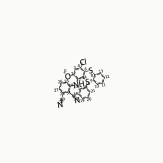 COc1cc(Cl)c(Sc2ccccc2)c(Sc2ccccc2)c1Nc1cccc(C#N)c1C#N